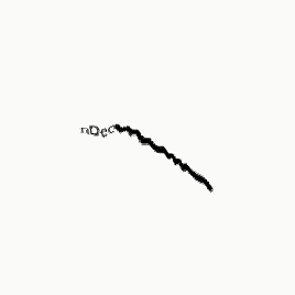 C=CC=CC=CC=CCCCCCCCCCCCCCCCCCCCC